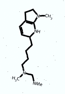 CNCN(C)CCCCC1C=CC2=C(N1)N(C)CC2